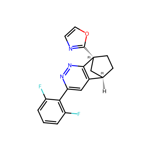 Fc1cccc(F)c1-c1cc2c(nn1)[C@@]1(c3ncco3)CC[C@@H]2C1